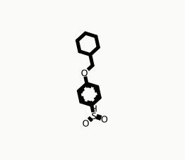 O=[SH](=O)c1ccc(OCC2CCCCC2)cc1